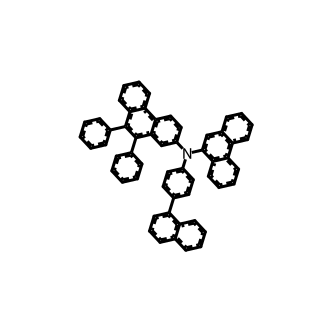 c1ccc(-c2c(-c3ccccc3)c3cc(N(c4ccc(-c5cccc6ccccc56)cc4)c4cc5ccccc5c5ccccc45)ccc3c3ccccc23)cc1